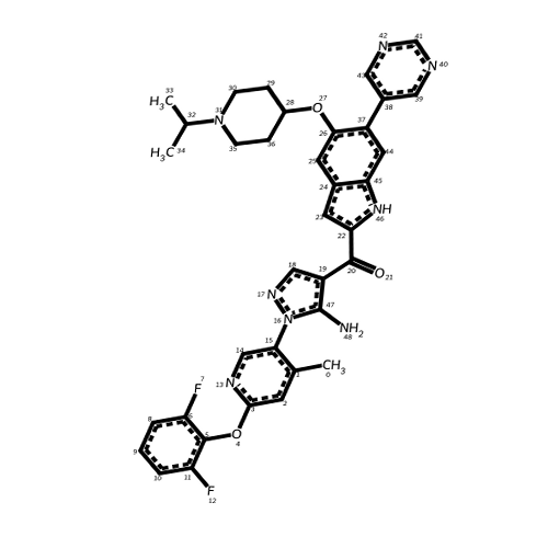 Cc1cc(Oc2c(F)cccc2F)ncc1-n1ncc(C(=O)c2cc3cc(OC4CCN(C(C)C)CC4)c(-c4cncnc4)cc3[nH]2)c1N